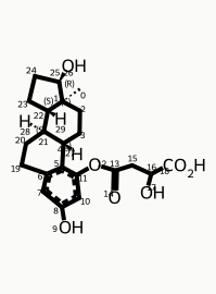 C[C@]12CC[C@@H]3c4c(cc(O)cc4OC(=O)CC(O)C(=O)O)CC[C@H]3[C@@H]1CC[C@H]2O